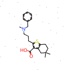 CN(CCCc1sc2c(c1C(=O)O)CC(C)(C)CC2)Cc1ccccc1